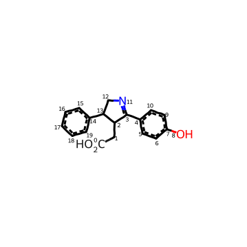 O=C(O)CC1C(c2ccc(O)cc2)=NCC1c1ccccc1